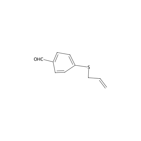 C=CCSc1ccc(C=O)cc1